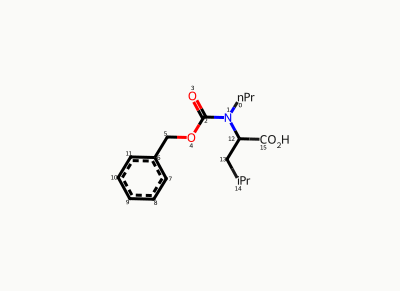 CCCN(C(=O)OCc1ccccc1)C(CC(C)C)C(=O)O